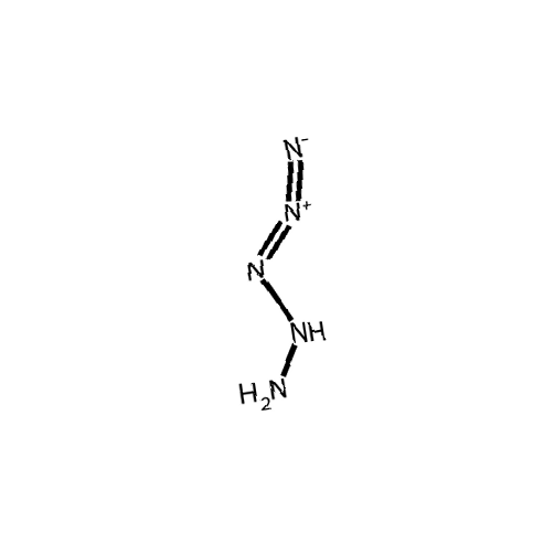 [N-]=[N+]=NNN